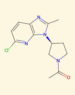 CC(=O)N1CC[C@H](n2c(C)nc3ccc(Cl)nc32)C1